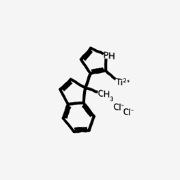 CC1(c2cc[pH][c]2[Ti+2])C=Cc2ccccc21.[Cl-].[Cl-]